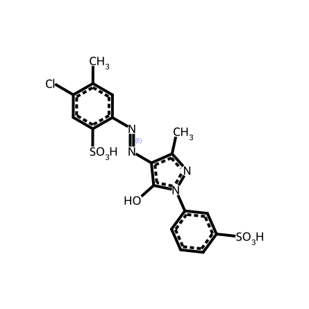 Cc1cc(/N=N/c2c(C)nn(-c3cccc(S(=O)(=O)O)c3)c2O)c(S(=O)(=O)O)cc1Cl